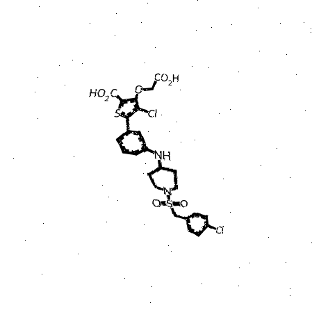 O=C(O)COc1c(C(=O)O)sc(-c2cccc(NC3CCN(S(=O)(=O)Cc4ccc(Cl)cc4)CC3)c2)c1Cl